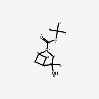 CC(C)(C)OC(=O)N1CC(C)(O)C2CC1C2